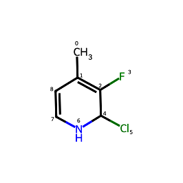 CC1=C(F)C(Cl)NC=C1